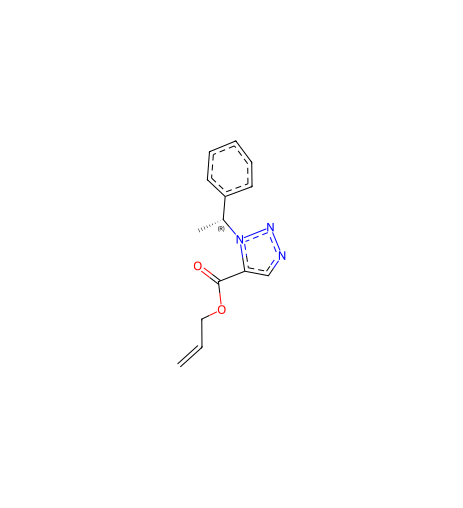 C=CCOC(=O)c1cnnn1[C@H](C)c1ccccc1